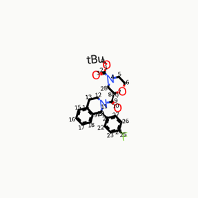 CC(C)(C)OC(=O)N1CCO[C@@H](C(=O)N2CCc3ccccc3[C@@H]2c2ccc(F)cc2)C1